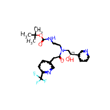 CC(C)(C)OC(=O)NCCN(C[C@@H](O)c1cccnc1)C(=O)Cc1ccc(C(F)(F)F)nc1